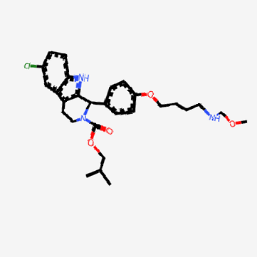 COCNCCCCOc1ccc(C2c3[nH]c4ccc(Cl)cc4c3CCN2C(=O)OCC(C)C)cc1